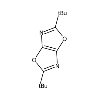 CC(C)(C)c1nc2oc(C(C)(C)C)nc2o1